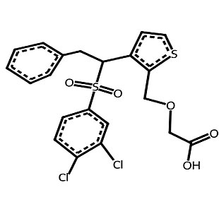 O=C(O)COCc1sccc1C(Cc1ccccc1)S(=O)(=O)c1ccc(Cl)c(Cl)c1